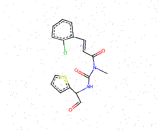 CN(C(=O)/C=C/c1ccccc1Cl)C(=O)NC([C]=O)c1cccs1